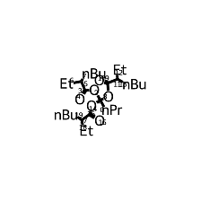 [CH2]CCC(OC(=O)C(CC)CCCC)(OC(=O)C(CC)CCCC)OC(=O)C(CC)CCCC